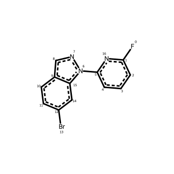 Fc1cccc(-n2ncc3ccc(Br)cc32)n1